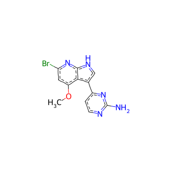 COc1cc(Br)nc2[nH]cc(-c3ccnc(N)n3)c12